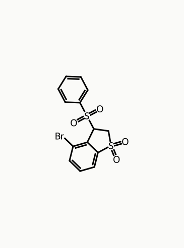 O=S1(=O)CC(S(=O)(=O)c2ccccc2)c2c(Br)cccc21